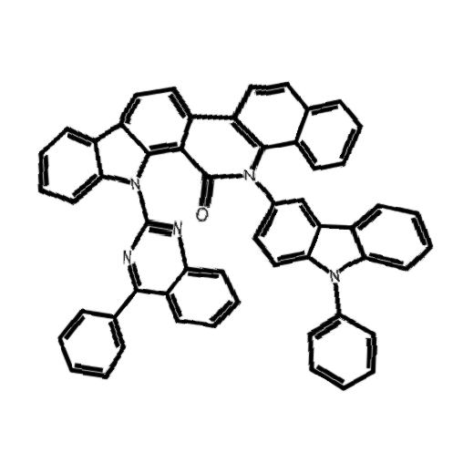 O=c1c2c(ccc3c4ccccc4n(-c4nc(-c5ccccc5)c5ccccc5n4)c32)c2ccc3ccccc3c2n1-c1ccc2c(c1)c1ccccc1n2-c1ccccc1